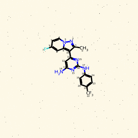 Cc1nn2ccc(F)cc2c1-c1cc(N)nc(Nc2ccc(C(F)(F)F)cc2)n1